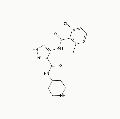 O=C(NC1CCNCC1)c1n[nH]cc1NC(=O)c1c(F)cccc1Cl